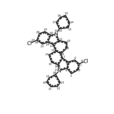 Clc1ccc2c(c1)c1c3ccc4c(c3ccc1n2-c1ccccc1)c1cc(Cl)ccc1n4-c1ccccc1